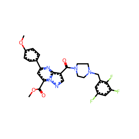 COC(=O)c1cc(-c2ccc(OC)cc2)nc2c(C(=O)N3CCN(Cc4cc(F)cc(F)c4F)CC3)cnn12